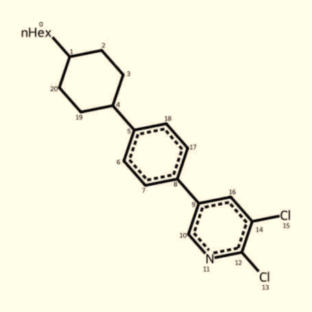 CCCCCCC1CCC(c2ccc(-c3cnc(Cl)c(Cl)c3)cc2)CC1